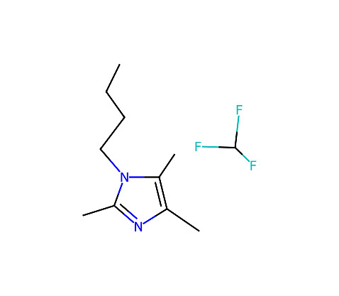 CCCCn1c(C)nc(C)c1C.FC(F)F